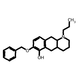 CCCN1CCCC2Cc3c(ccc(OCc4ccccc4)c3O)CC21